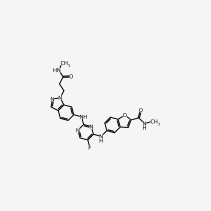 CNC(=O)CCn1ncc2ccc(Nc3ncc(F)c(Nc4ccc5oc(C(=O)NC)cc5c4)n3)cc21